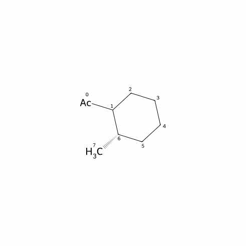 CC(=O)C1CCCC[C@@H]1C